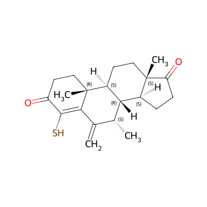 C=C1C2=C(S)C(=O)CC[C@]2(C)[C@H]2CC[C@]3(C)C(=O)CC[C@H]3[C@@H]2[C@@H]1C